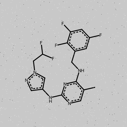 Cc1cnc(Nc2cnn(CC(F)F)c2)nc1NCc1cc(F)cc(F)c1F